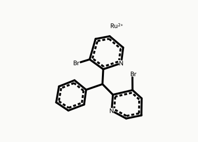 Brc1cccnc1C(c1ccccc1)c1ncccc1Br.[Ru+2]